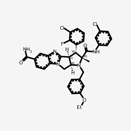 CCOc1cccc(CN2[C@H]3Cn4c(nc5cc(C(N)=O)ccc54)[C@H]3[C@H](c3cccc(Cl)c3F)[C@]2(C)C(=O)Nc2cccc(Cl)c2)c1